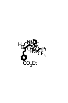 CCOC(=O)c1ccc(CCC(=O)C(C)(C)[C@H](N)C(=O)[C@]2(C(=O)NC(C(C)C)C(O)C(F)(F)F)CCCN2)cc1